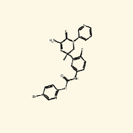 CC1(c2cc(NC(=O)Oc3ccc(Br)cn3)ccc2F)CN(c2cccnc2)C(=O)C(N)=N1